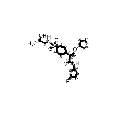 C[C@H](O)CNS(=O)(=O)c1ccc(/C(=N\O[C@@H]2CCOC2)C(=O)Nc2ncc(F)s2)cc1